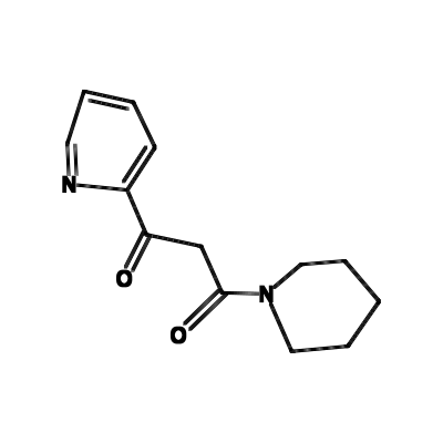 O=C(CC(=O)N1CCCCC1)c1ccccn1